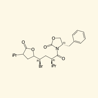 CC(C)C1CC([C@H](Br)C[C@@H](C(=O)N2C(=O)OC[C@@H]2Cc2ccccc2)C(C)C)OC1=O